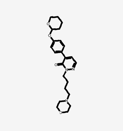 O=c1c(-c2ccc(OC3CCCCO3)cc2)ccnn1CCCCN1CCOCC1